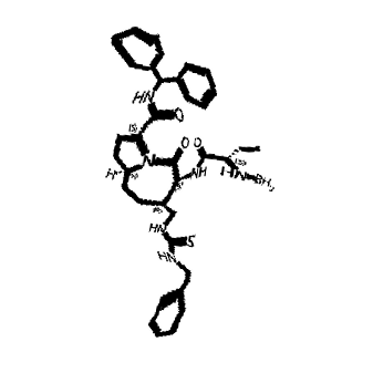 BN[C@@H](CC)C(=O)N[C@@H]1C(=O)N2[C@@H](CC[C@@H]1CNC(=S)NCc1ccccc1)CC[C@H]2C(=O)NC(c1ccccc1)c1ccccc1